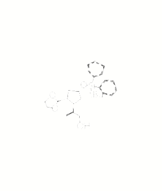 C=C(CO)[C@@H]1C[C@@H](O[Si](c2ccccc2)(c2ccccc2)C(C)(C)C)[C@@H](C)[C@@H]1C1OCCO1